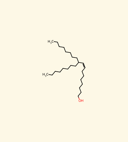 CCCCCCCCC(/C=C\CCCCCCCO)CCCCCCCC